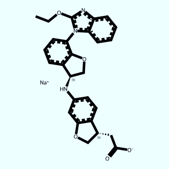 CCOc1nc2ccccc2n1-c1cccc2c1OC[C@H]2Nc1ccc2c(c1)OC[C@H]2CC(=O)[O-].[Na+]